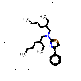 CCCCC(CC)CN(CC(CC)CCCC)c1nc(-c2ccccc2)cs1